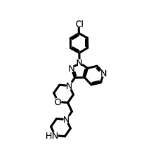 Clc1ccc(-n2nc(N3CCOC(CN4CCNCC4)C3)c3ccncc32)cc1